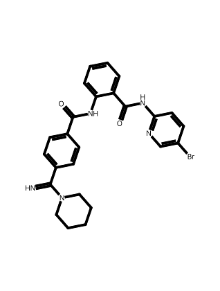 N=C(c1ccc(C(=O)Nc2ccccc2C(=O)Nc2ccc(Br)cn2)cc1)N1CCCCC1